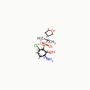 CC(C)([C@@H]1CCOC1)S(=O)(=O)c1c(Cl)ccc(N)c1O